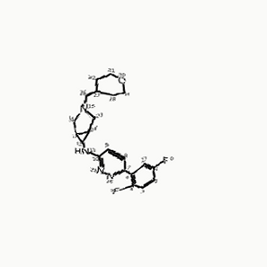 Fc1ccc(F)c(-c2ccc(NC3C4CN(CC5CCOCC5)CC43)nn2)c1